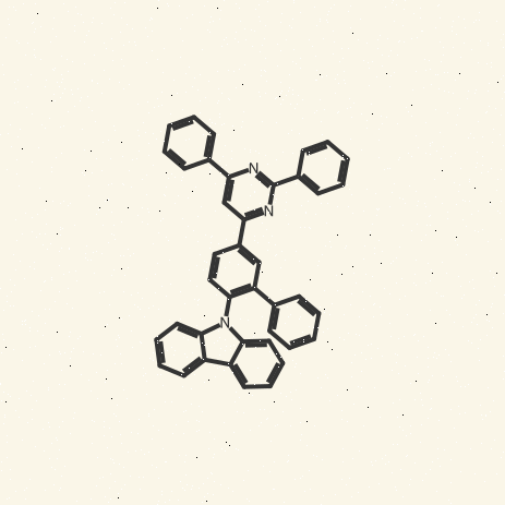 c1ccc(-c2cc(-c3ccc(-n4c5ccccc5c5ccccc54)c(-c4ccccc4)c3)nc(-c3ccccc3)n2)cc1